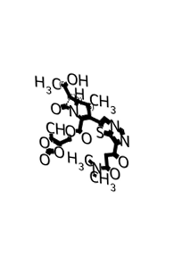 Cc1oc(=O)oc1COC(=O)C1=C(c2cn3cnc(C(=O)CC(=O)N(C)C)c3s2)[C@H](C)[C@@H]2[C@@H]([C@@H](C)O)C(=O)N12